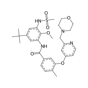 COc1c(NC(=O)c2ccc(C)c(Oc3ccnc(CN4CCOCC4)c3)c2)cc(C(C)(C)C)cc1NS(C)(=O)=O